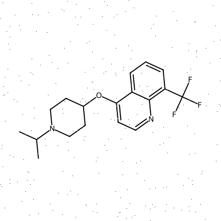 CC(C)N1CCC(Oc2ccnc3c(C(F)(F)F)cccc23)CC1